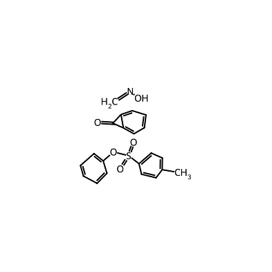 C=NO.Cc1ccc(S(=O)(=O)Oc2ccccc2)cc1.O=c1c2ccccc12